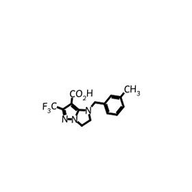 Cc1cccc(CN2CCn3nc(C(F)(F)F)c(C(=O)O)c32)c1